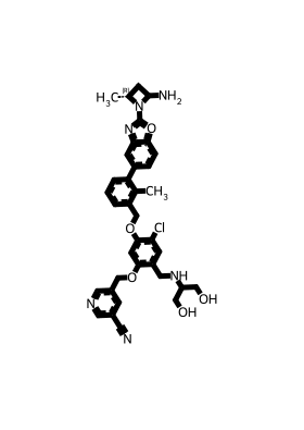 Cc1c(COc2cc(OCc3cncc(C#N)c3)c(CNC(CO)CO)cc2Cl)cccc1-c1ccc2oc(N3C(N)C[C@H]3C)nc2c1